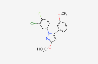 O=C(O)Oc1cc(-c2cccc(OC(F)(F)F)c2)n(-c2ccc(F)c(Cl)c2)n1